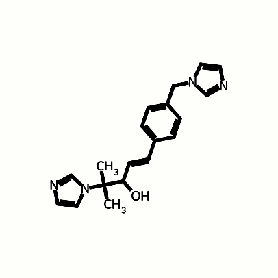 CC(C)(C(O)/C=C/c1ccc(Cn2ccnc2)cc1)n1ccnc1